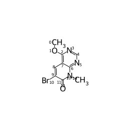 COc1ncnc2c1cc(Br)c(=O)n2C